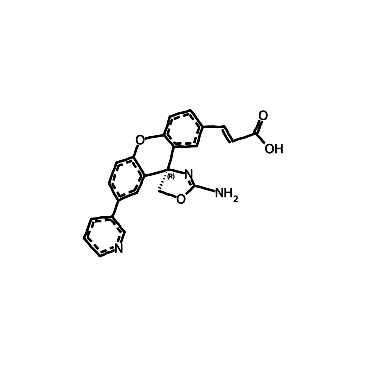 NC1=N[C@]2(CO1)c1cc(C=CC(=O)O)ccc1Oc1ccc(-c3cccnc3)cc12